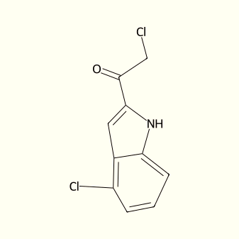 O=C(CCl)c1cc2c(Cl)cccc2[nH]1